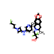 C[C@@H]1Cc2cc3c(cc2[C@@H](C2(C)CC=C(NC4CN(CCCF)C4)C=N2)N1CC(F)(F)CO)OCO3